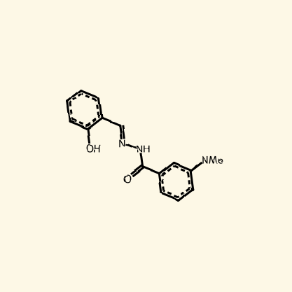 CNc1cccc(C(=O)N/N=C/c2ccccc2O)c1